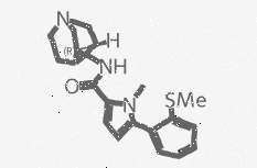 CSc1ccccc1-c1ccc(C(=O)N[C@H]2CN3CCC2CC3)n1C